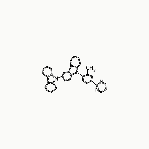 Cc1cc(-c2ncccn2)ccc1-n1c2ccccc2c2cc(-n3c4ccccc4c4ccccc43)ccc21